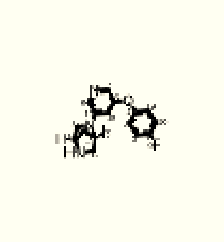 Fc1ccc(Oc2cncc(N3C[C@@H]4C[C@H]3CN4)c2)cc1